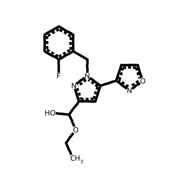 CCOC(O)c1cc(-c2ccon2)n(Cc2ccccc2F)n1